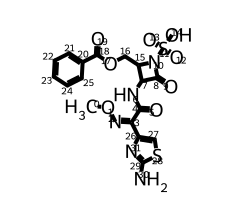 CON=C(C(=O)NC1C(=O)N(S(=O)(=O)O)C1COC(=O)c1ccccc1)c1csc(N)n1